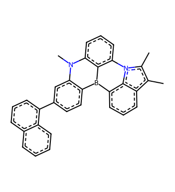 Cc1c(C)n2c3c(cccc13)B1c3ccc(-c4cccc5ccccc45)cc3N(C)c3cccc-2c31